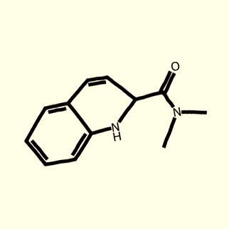 CN(C)C(=O)C1C=Cc2ccccc2N1